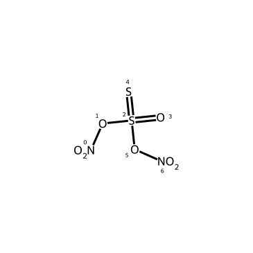 O=[N+]([O-])OS(=O)(=S)O[N+](=O)[O-]